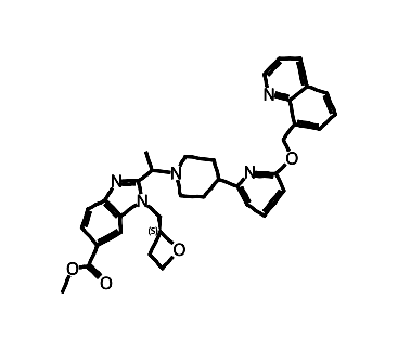 COC(=O)c1ccc2nc(C(C)N3CCC(c4cccc(OCc5cccc6cccnc56)n4)CC3)n(C[C@@H]3CCO3)c2c1